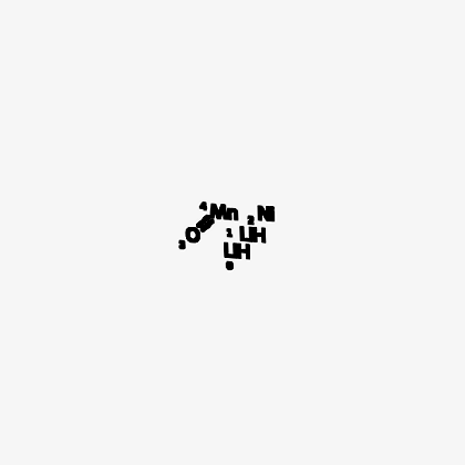 [LiH].[LiH].[Ni].[O]=[Mn]